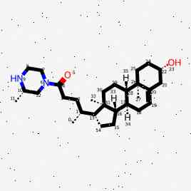 C[C@H](CCC(=O)N1CCN[C@@H](C)C1)[C@H]1CC[C@H]2[C@@H]3CC=C4C[C@@H](O)CC[C@]4(C)[C@H]3CC[C@]12C